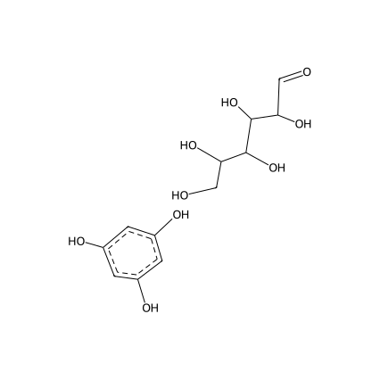 O=CC(O)C(O)C(O)C(O)CO.Oc1cc(O)cc(O)c1